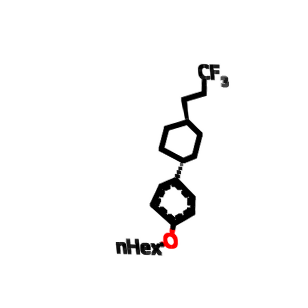 CCCCCCOc1ccc([C@H]2CC[C@H](CCC(F)(F)F)CC2)cc1